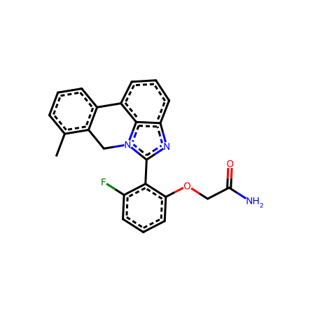 Cc1cccc2c1Cn1c(-c3c(F)cccc3OCC(N)=O)nc3cccc-2c31